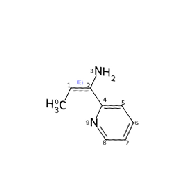 C/C=C(/N)c1ccccn1